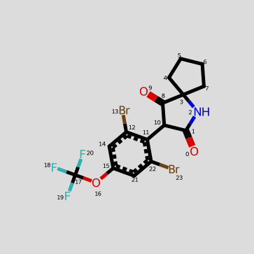 O=C1NC2(CCCC2)C(=O)C1c1c(Br)cc(OC(F)(F)F)cc1Br